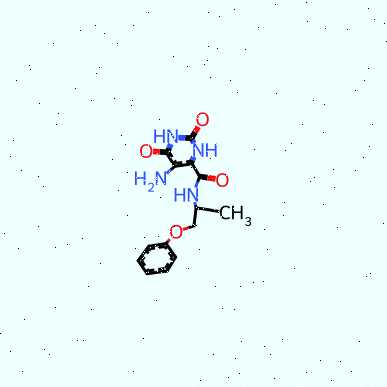 CC(COc1ccccc1)NC(=O)c1[nH]c(=O)[nH]c(=O)c1N